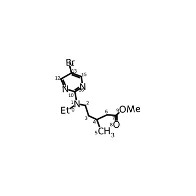 CCN(CCC(C)CC(=O)OC)c1ncc(Br)cn1